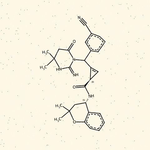 CC1(C)CC(=O)N(C(C2=C[C@H]2C(=O)N[C@H]2CC(C)(C)Oc3ccccc32)c2cccc(C#N)c2)C(=N)N1